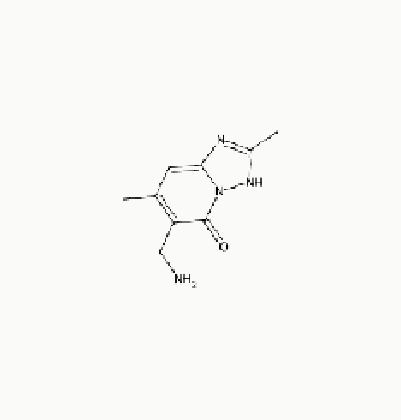 Cc1nc2cc(C)c(CN)c(=O)n2[nH]1